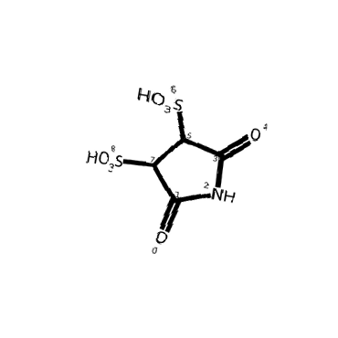 O=C1NC(=O)C(S(=O)(=O)O)C1S(=O)(=O)O